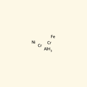 [AlH3].[Cr].[Cr].[Fe].[Ni]